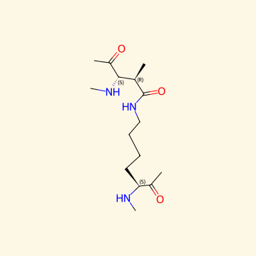 CN[C@@H](CCCCNC(=O)[C@H](C)[C@H](NC)C(C)=O)C(C)=O